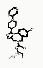 C[C@H](CF)OC(=O)N1Cc2cc(Cl)ccc2-n2c(nnc2C2CCN(c3cnccn3)CC2)C1